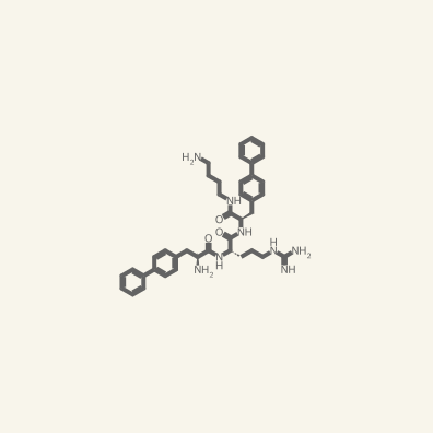 N=C(N)NCCC[C@H](NC(=O)[C@@H](N)Cc1ccc(-c2ccccc2)cc1)C(=O)N[C@H](Cc1ccc(-c2ccccc2)cc1)C(=O)NCCCCN